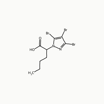 CCCCC(C(=O)O)n1nc(Br)c(Br)c1Br